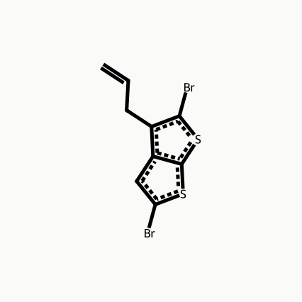 C=CCc1c(Br)sc2sc(Br)cc12